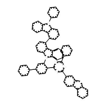 C1=c2c(n(-c3cc(-c4ccccc4)ccc3-c3nc(-c4ccccc4)nc(-c4ccc5c(c4)oc4ccccc45)n3)c3cccc(-c4cccc5c4c4ccccc4n5-c4ccccc4)c23)=CCC1